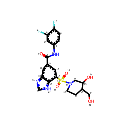 O=C(Nc1ccc(F)c(F)c1)c1cc(S(=O)(=O)N2CCC(CO)C(O)C2)c2[nH]cnc2c1